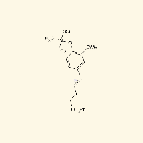 CCOC(=O)CC/C=C/c1ccc(O[Si](C)(C)C(C)(C)C)c(OC)c1